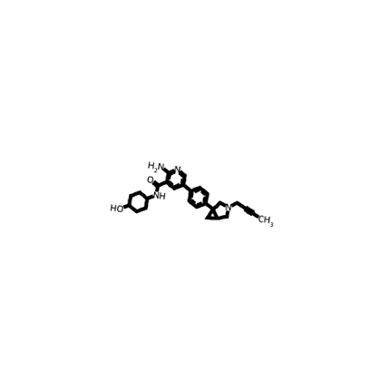 CC#CCN1CC2CC2(c2ccc(-c3cnc(N)c(C(=O)NC4CCC(O)CC4)c3)cc2)C1